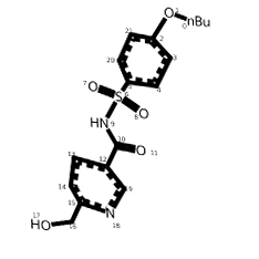 CCCCOc1ccc(S(=O)(=O)NC(=O)c2ccc(CO)nc2)cc1